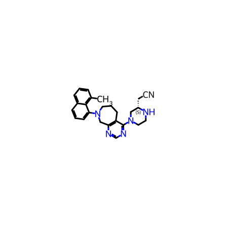 Cc1cccc2cccc(N3CCCc4c(ncnc4N4CCN[C@@H](CC#N)C4)C3)c12